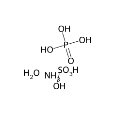 N.O.O=P(O)(O)O.O=S(=O)(O)O